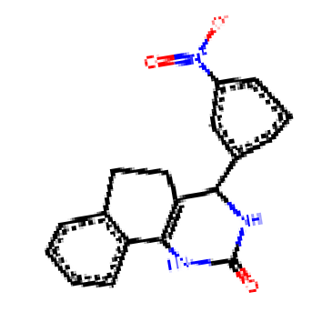 O=C1NC2=C(CCc3ccccc32)C(c2cccc([N+](=O)[O-])c2)N1